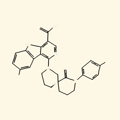 NC(=O)c1cnc(N2CCC[C@@]3(CCCN(c4ccc(F)cc4)C3=O)C2)c2c1[nH]c1ccc(C(=O)O)cc12